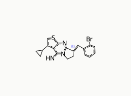 N=c1c2c(C3CC3)csc2nc2n1CC/C2=C\c1ccccc1Br